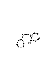 C1=CC2=Nc3ccccc3SCN2C=C1